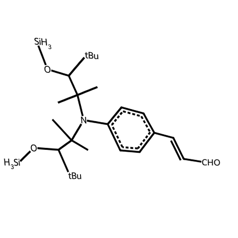 CC(C)(C)C(O[SiH3])C(C)(C)N(c1ccc(C=CC=O)cc1)C(C)(C)C(O[SiH3])C(C)(C)C